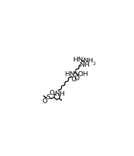 CC(=O)SCC(CC(C)C)C(=O)NCCCCCCCC(=O)N[C@@H](CCCNC(=N)N)C(=O)O